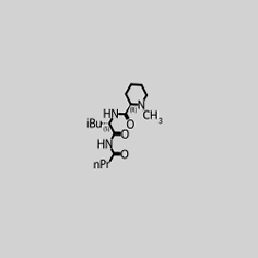 CCCC(=O)NC(=O)[C@@H](NC(=O)[C@H]1CCCCN1C)C(C)CC